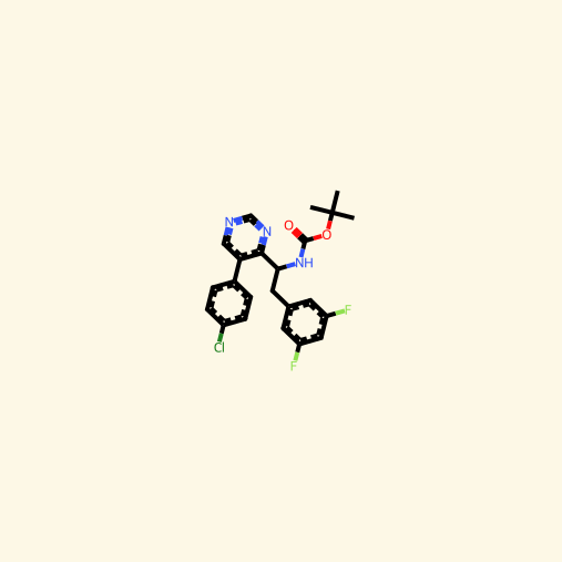 CC(C)(C)OC(=O)NC(Cc1cc(F)cc(F)c1)c1ncncc1-c1ccc(Cl)cc1